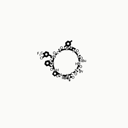 CC[C@H](C)[C@@H]1NC(=O)[C@H](CC(C)C)N(C)C(=O)C[C@@H](C(=O)N(C)C)N(C)C(=O)[C@H]([C@@H](C)CC)N(C)C(=O)C2(CCCC2)NC(=O)[C@@H](Cc2ccccc2)N(C)C(=O)[C@H](CCc2ccc(C(F)(F)F)c(Cl)c2)NC(=O)CN(C)C(=O)[C@H](Cc2ccc(C)cc2)N(C)C(=O)[C@@H]2CCN2C(=O)[C@H](C)N(C)C1=O